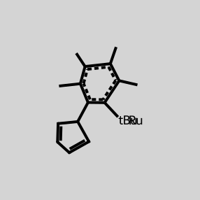 Cc1c(C)c(C)c(C(C)(C)C)c(C2C=CC=C2)c1C.[Ru]